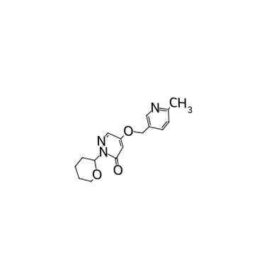 Cc1ccc(COc2cnn(C3CCCCO3)c(=O)c2)cn1